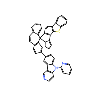 C1=Cc2ccc(-c3ccc4c(c3)c3cnccc3n4-c3ccccn3)cc2C2(c3ccccc31)c1ccccc1-c1c2ccc2c1sc1ccccc12